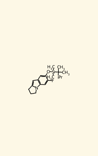 CC(C)C(C)(C)[Si](C)(C)Oc1cc2cc3n(c2cc1F)CCC3